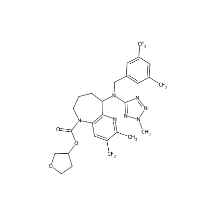 Cc1nc2c(cc1C(F)(F)F)N(C(=O)OC1CCOC1)CCCC2N(Cc1cc(C(F)(F)F)cc(C(F)(F)F)c1)c1nnn(C)n1